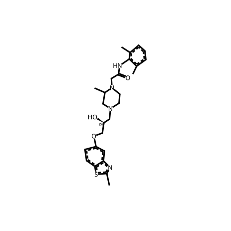 Cc1nc2cc(OC[C@@H](O)CN3CCN(CC(=O)Nc4c(C)cccc4C)C(C)C3)ccc2s1